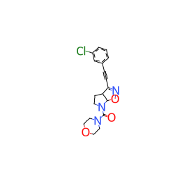 O=C(N1CCOCC1)N1CCC2C(C#Cc3cccc(Cl)c3)=NOC21